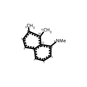 CNc1cccc2ccc(C)c(C)c12